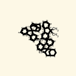 CCC1CC2CCCC(C2)C12c1ccccc1-c1c(N(c3ccc4c(c3)-c3ccccc3C4(C)C)c3ccc4c(c3)C3(c5ccccc5-4)C4CC5CC(C4)CC3C5)cccc12